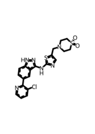 O=S1(=O)CCN(Cc2cnc(Nc3n[nH]c4ccc(-c5ncccc5Cl)cc34)s2)CC1